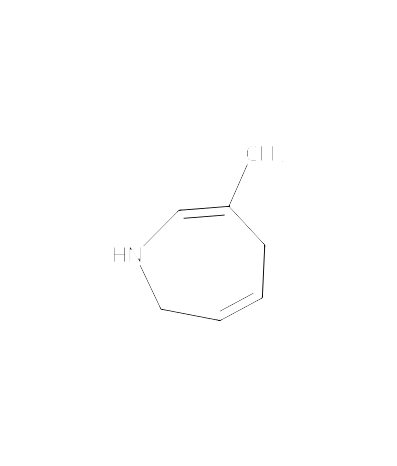 CC1=CNCC=CC1